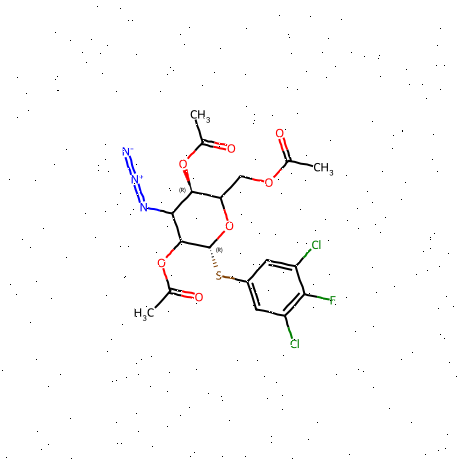 CC(=O)OCC1O[C@H](Sc2cc(Cl)c(F)c(Cl)c2)C(OC(C)=O)C(N=[N+]=[N-])[C@H]1OC(C)=O